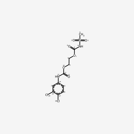 CS(=O)(=O)NC(=O)OCCOC(=O)Nc1ccc(Cl)c(Cl)c1